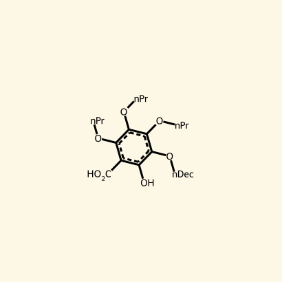 CCCCCCCCCCOc1c(O)c(C(=O)O)c(OCCC)c(OCCC)c1OCCC